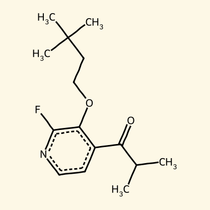 CC(C)C(=O)c1ccnc(F)c1OCCC(C)(C)C